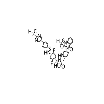 CCc1ncc(-c2ccc(SNc3cc(F)c(C(=O)N[C@@H](Cc4ccc(-n5c(=O)c6ccccc6n(C)c5=O)cn4)C(=O)O)cc3F)cc2)cn1